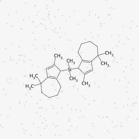 CC1=CC2=C(CCCCC2(C)C)C1[Si](C)(C)C1C(C)=CC2=C1CCCCC2(C)C